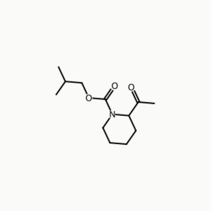 CC(=O)C1CCCCN1C(=O)OCC(C)C